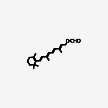 CC1=C(/C=C/C(C)=C/C=C/C(C)=C/COC=O)C(C)(C)CCC1